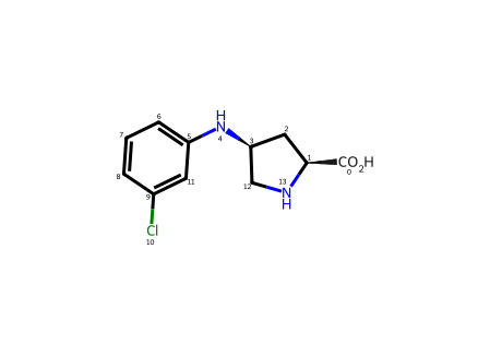 O=C(O)[C@@H]1C[C@H](Nc2cccc(Cl)c2)CN1